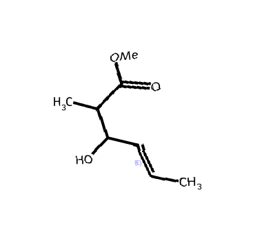 C/C=C/C(O)C(C)C(=O)OC